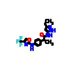 CCc1cc(NC(=O)C(C)c2ccc(Nc3nc(C(F)(F)F)co3)cc2)[nH]n1